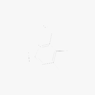 CC(=O)[O-].Cc1ccnc(C)c1C.[Na+]